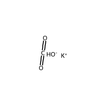 O=C=O.[K+].[OH-]